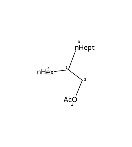 CCCCCCCC(CCCCCC)COC(C)=O